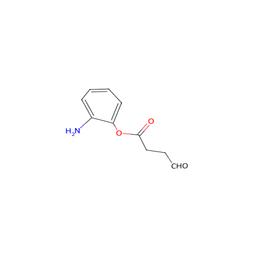 Nc1ccccc1OC(=O)CCC=O